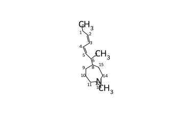 CC/C=C\C=C/C(C)C1CCCN(C)CC1